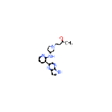 CC(=O)CCN1CC[C@@H](Nc2ncccc2-c2cnc3[nH]ccc3n2)C1